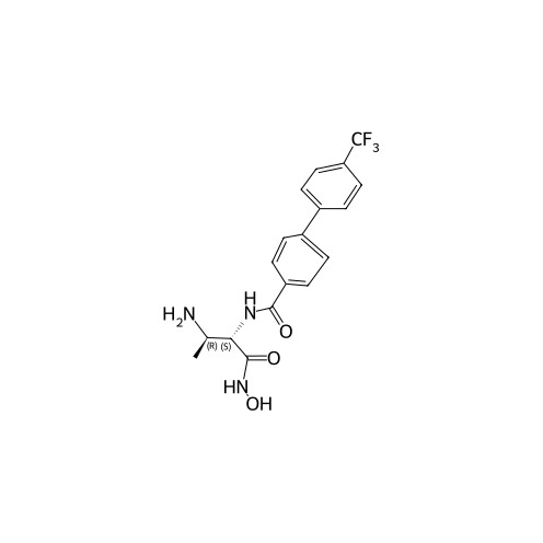 C[C@@H](N)[C@H](NC(=O)c1ccc(-c2ccc(C(F)(F)F)cc2)cc1)C(=O)NO